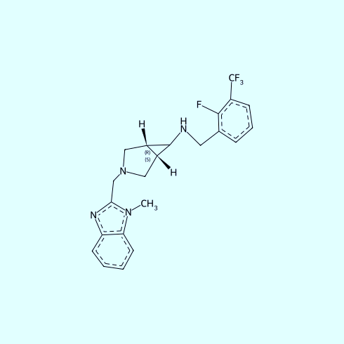 Cn1c(CN2C[C@@H]3C(NCc4cccc(C(F)(F)F)c4F)[C@@H]3C2)nc2ccccc21